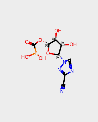 N#Cc1ncn([C@@H]2O[C@H](OC(=O)P(O)O)[C@@H](O)[C@H]2O)n1